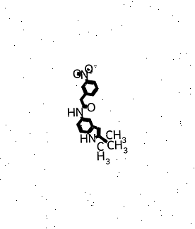 CC(C)(C)c1cc2cc(NC(=O)Cc3cccc([N+](=O)[O-])c3)ccc2[nH]1